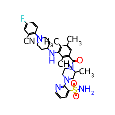 Cc1cc(C(=O)N2CCN(c3ncccc3S(N)(=O)=O)CC2C)c(C)c(NC2CCN(c3ccc(F)cc3C#N)CC2)c1C